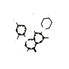 CCc1c(N2CC[C@@H](O)[C@@H](C)C2)c(F)cc2c(=O)c(C(=O)O)cn(-c3ccc(F)cc3F)c12